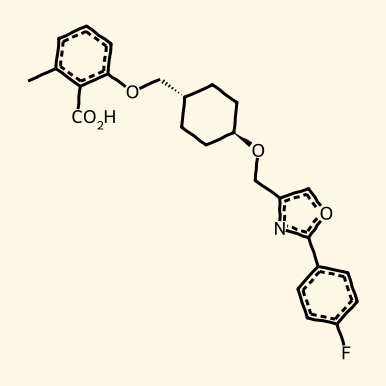 Cc1cccc(OC[C@H]2CC[C@H](OCc3coc(-c4ccc(F)cc4)n3)CC2)c1C(=O)O